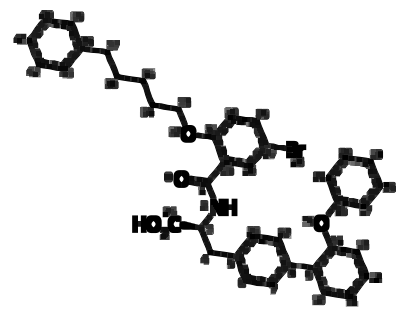 O=C(N[C@@H](Cc1ccc(-c2ccccc2Oc2ccccc2)cc1)C(=O)O)c1cc(Br)ccc1OCCCCCc1ccccc1